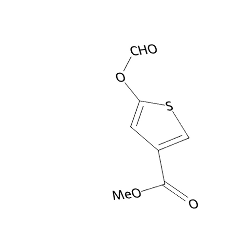 COC(=O)c1csc(OC=O)c1